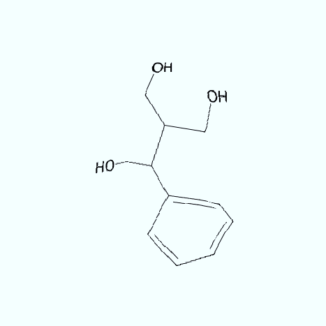 OCC(CO)C(O)c1ccccc1